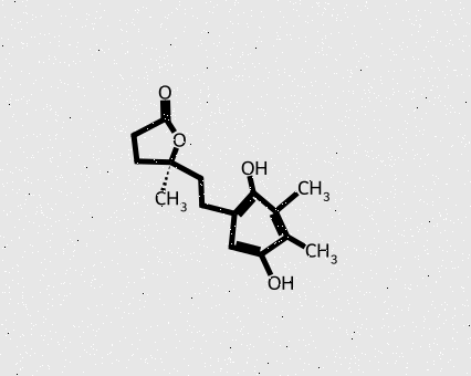 Cc1c(O)cc(CC[C@@]2(C)CCC(=O)O2)c(O)c1C